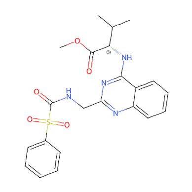 COC(=O)[C@@H](Nc1nc(CNC(=O)S(=O)(=O)c2ccccc2)nc2ccccc12)C(C)C